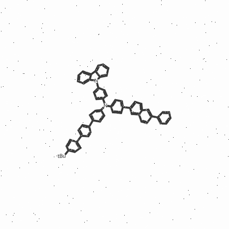 CC(C)(C)c1ccc(-c2ccc(-c3ccc(N(c4ccc(-c5ccc6cc(-c7ccccc7)ccc6c5)cc4)c4ccc(-n5c6ccccc6c6ccccc65)cc4)cc3)cc2)cc1